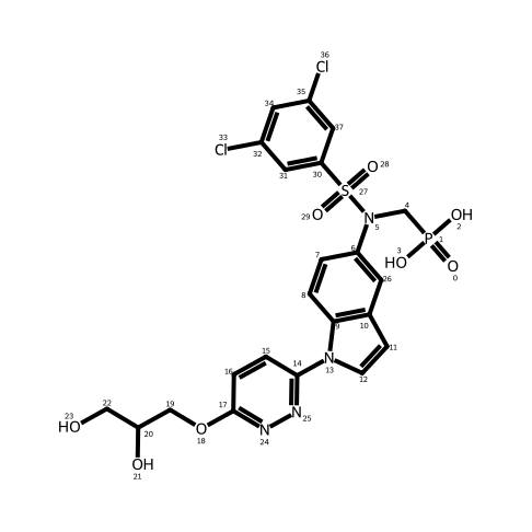 O=P(O)(O)CN(c1ccc2c(ccn2-c2ccc(OCC(O)CO)nn2)c1)S(=O)(=O)c1cc(Cl)cc(Cl)c1